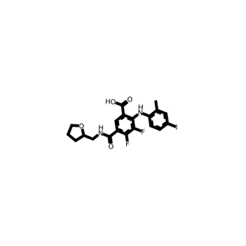 Cc1cc(I)ccc1Nc1c(C(=O)O)cc(C(=O)NCC2CCCO2)c(F)c1F